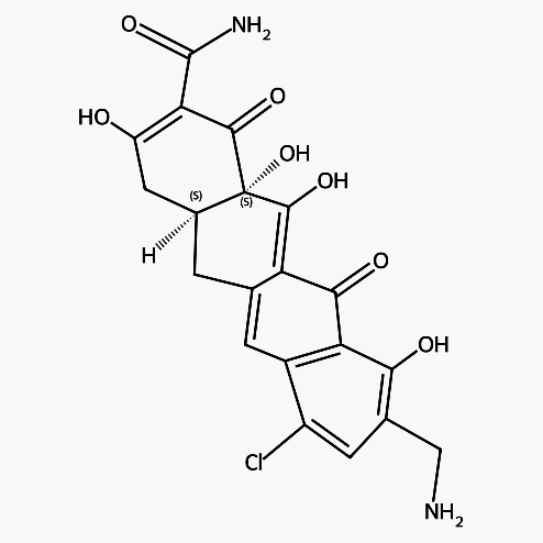 NCc1cc(Cl)c2c(c1O)C(=O)C1=C(O)[C@]3(O)C(=O)C(C(N)=O)=C(O)C[C@@H]3CC1=C2